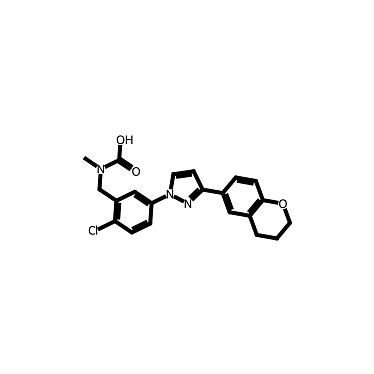 CN(Cc1cc(-n2ccc(-c3ccc4c(c3)CCCO4)n2)ccc1Cl)C(=O)O